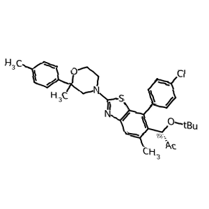 CC(=O)[C@@H](OC(C)(C)C)c1c(C)cc2nc(N3CCOC(C)(c4ccc(C)cc4)C3)sc2c1-c1ccc(Cl)cc1